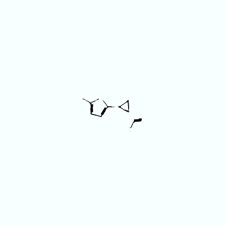 NC(=O)[C@H]1C[C@@H]1c1ccc(Cl)s1